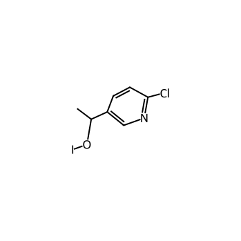 CC(OI)c1ccc(Cl)nc1